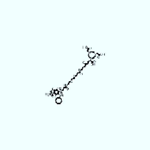 NS(=O)(=O)c1c(F)c(F)c(S(=O)(=O)CCC(=O)NCCOCCOCCC(=O)NCCCC(=O)CCC(C(=O)O)N2CCN(CC(=O)O)CCN(CC(=O)O)CC2)c(NC2CCCCCCC2)c1F